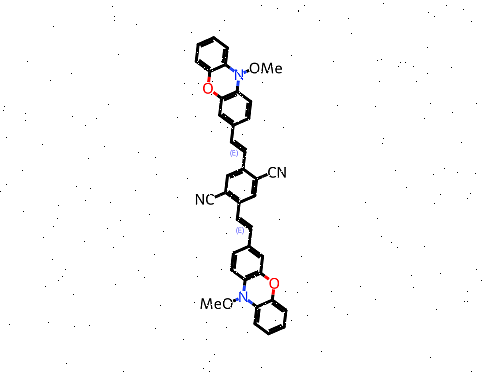 CON1c2ccccc2Oc2cc(/C=C/c3cc(C#N)c(/C=C/c4ccc5c(c4)Oc4ccccc4N5OC)cc3C#N)ccc21